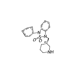 O=S1(=O)N(C[C@@H]2CCCNC2)c2ccccc2N1c1ccccc1